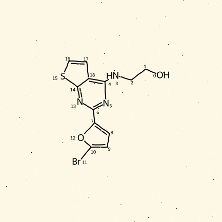 OCCNc1nc(-c2ccc(Br)o2)nc2sccc12